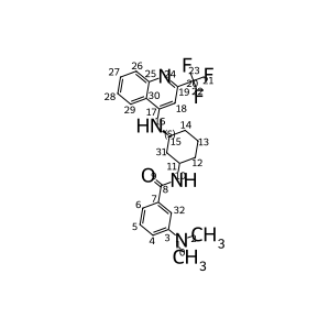 CN(C)c1cccc(C(=O)NC2CCC[C@H](Nc3cc(C(F)(F)F)nc4ccccc34)C2)c1